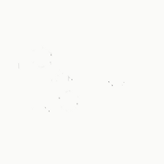 CC(=O)NCC1CN(S(=O)(=O)c2ccc(F)c(F)c2)c2cc(NC(=O)O)ccc2O1